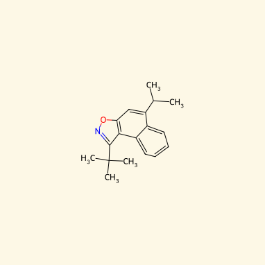 CC(C)c1cc2onc(C(C)(C)C)c2c2ccccc12